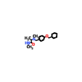 CNC(=O)C(C)N(C)Cc1ccc(OCc2ccccc2)cc1